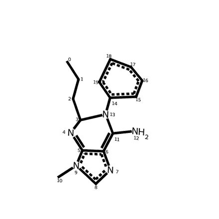 CCCC1N=c2c(ncn2C)=C(N)N1c1ccccc1